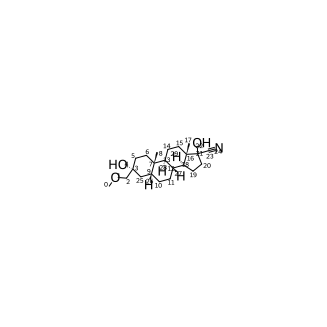 COC[C@@]1(O)CC[C@@]2(C)[C@H](CC[C@@H]3[C@@H]2CC[C@@]2(C)[C@H]3CCC2(O)C#N)C1